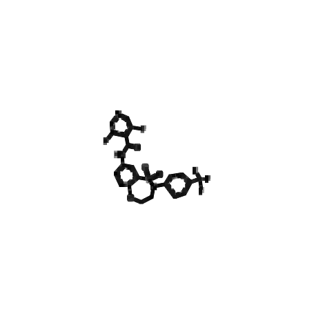 O=C(Nc1ccc2c(c1)S(=O)(=O)N(c1ccc(C(F)(F)F)cc1)CCO2)c1c(F)cncc1F